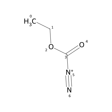 CCOC(=O)[N+]#N